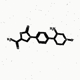 NC(=O)C1CN(c2ccc(C3CC[S+]([O-])CC3N)cc2)C(=O)O1